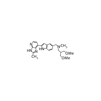 COCC(COC)CN(C)Cc1ccc2[nH]c(-c3ccnc4[nH]c(C)nc34)cc2c1